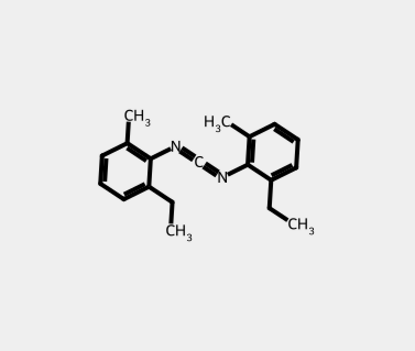 CCc1cccc(C)c1N=C=Nc1c(C)cccc1CC